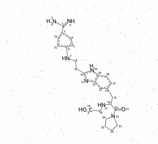 N=C(N)c1ccc(NCCc2nc3cc(CC(NCC(=O)O)C(=O)N4CCCC4)ccc3[nH]2)cc1